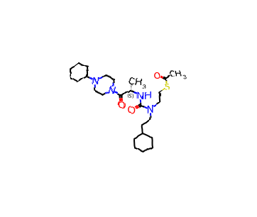 CC(=O)SCCN(CCC1CCCCC1)C(=O)N[C@@H](C)C(=O)N1CCN(C2CCCCC2)CC1